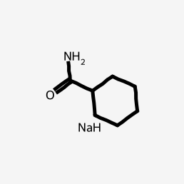 NC(=O)C1CCCCC1.[NaH]